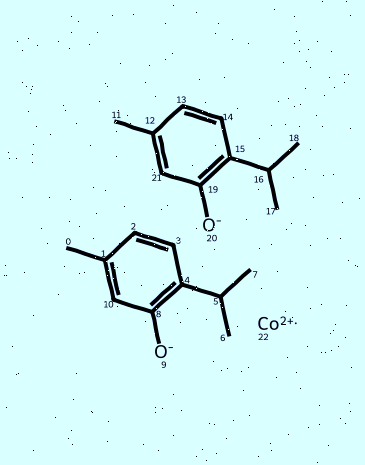 Cc1ccc(C(C)C)c([O-])c1.Cc1ccc(C(C)C)c([O-])c1.[Co+2]